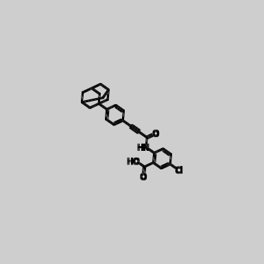 O=C(C#Cc1ccc(C23CC4CC(CC(C4)C2)C3)cc1)Nc1ccc(Cl)cc1C(=O)O